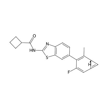 CC1=C(c2ccc3nc(NC(=O)C4CCC4)sc3c2)C(F)=CC2=C[C@H]21